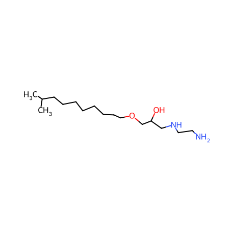 CC(C)CCCCCCCCOCC(O)CNCCN